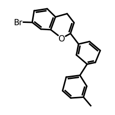 Cc1cccc(-c2cccc(C3=CCc4ccc(Br)cc4O3)c2)c1